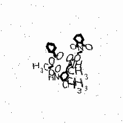 CC(COC(=O)c1ccccc1)OC(=O)NC1CC(C)(C)CC(C)(CNC(=O)OCCN2C(=O)c3ccccc3C2=O)C1